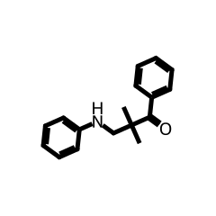 CC(C)(CNc1ccccc1)C(=O)c1ccccc1